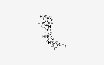 Cc1cccc(-c2ccc(NC(=O)Cc3cnc(-c4ccnc(C)c4)c(C)c3)cn2)c1